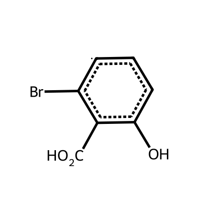 O=C(O)c1c(Br)[c]ccc1O